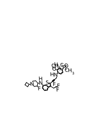 COc1cc(P(C)(C)=O)ccc1NCC#Cc1sc2c(NC3CCN(C4CCC4)CC3F)cccc2c1CC(F)(F)F